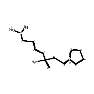 CC(N)(CCCCB(O)O)CCN1CCCC1